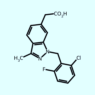 Cc1nn(Cc2c(F)cccc2Cl)c2cc(CC(=O)O)ccc12